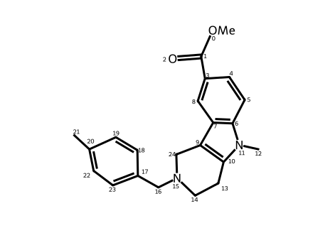 COC(=O)c1ccc2c(c1)c1c(n2C)CCN(Cc2ccc(C)cc2)C1